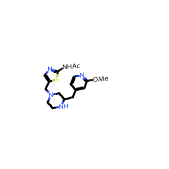 COc1cc(CC2CN(Cc3cnc(NC(C)=O)s3)CCN2)ccn1